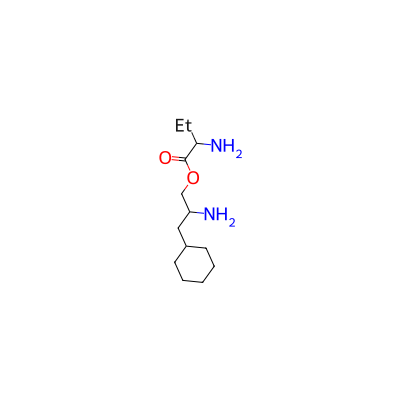 CCC(N)C(=O)OCC(N)CC1CCCCC1